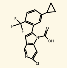 O=C(O)n1c(-c2cc(C3CC3)ccc2C(F)(F)F)cc2cnc(Cl)cc21